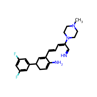 CN1CCN(/C(C=N)=C/C=C/C2=CC(c3cc(F)cc(F)c3)CC=C2N)CC1